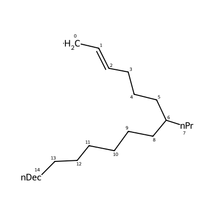 [CH2]C=CCCCC(CCC)CCCCCCCCCCCCCCC[CH2]